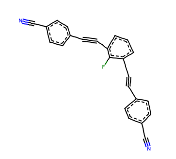 N#Cc1ccc(C#Cc2cccc(C#Cc3ccc(C#N)cc3)c2F)cc1